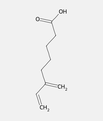 C=CC(=C)CCCCC(=O)O